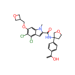 C=C(O)c1ccc(C2(NC(=O)c3cc4c(Cl)c(Cl)c(OCC5COC5)cc4n3C)CCOC2)cc1